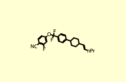 CCCC=CC1CCC(c2ccc(C(F)(F)Oc3ccc(C#N)c(F)c3)cc2)CC1